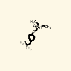 CCOP(=O)(CC)COc1ccc(C[C@@H](C)N)cc1